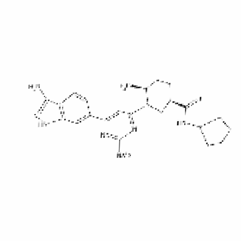 CNc1nc(-c2ccc3c(N)n[nH]c3c2)cc(N2C[C@H](C(=O)NC3CCCC3)CC[C@@H]2C(F)(F)F)n1